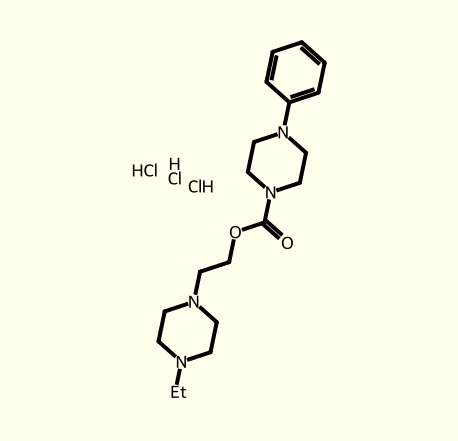 CCN1CCN(CCOC(=O)N2CCN(c3ccccc3)CC2)CC1.Cl.Cl.Cl